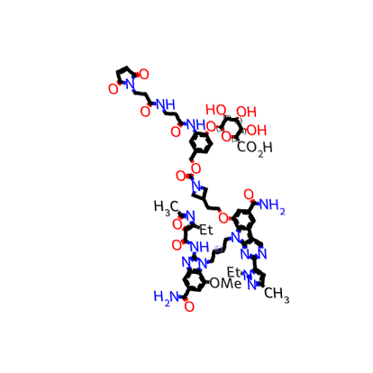 CCc1nc(C)oc1C(=O)Nc1nc2cc(C(N)=O)cc(OC)c2n1C/C=C/Cn1c2nc(-c3cc(C)nn3CC)ncc2c2cc(C(N)=O)cc(OCCC3CN(C(=O)OCc4ccc(O[C@@H]5O[C@H](C(=O)O)[C@@H](O)[C@H](O)[C@H]5O)c(NC(=O)CCNC(=O)CCN5C(=O)C=CC5=O)c4)C3)c21